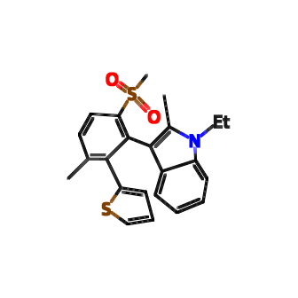 CCn1c(C)c(-c2c(S(C)(=O)=O)ccc(C)c2-c2cccs2)c2ccccc21